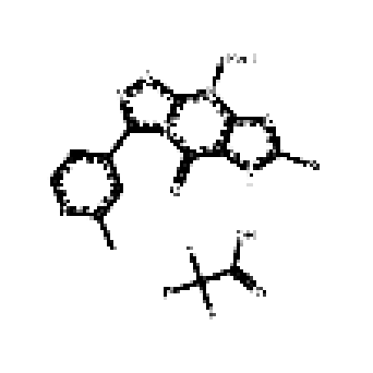 CCCCCn1c2nc(Br)[nH]c2c(=O)n2c(-c3ccnc(C)c3)nnc12.O=C(O)C(F)(F)F